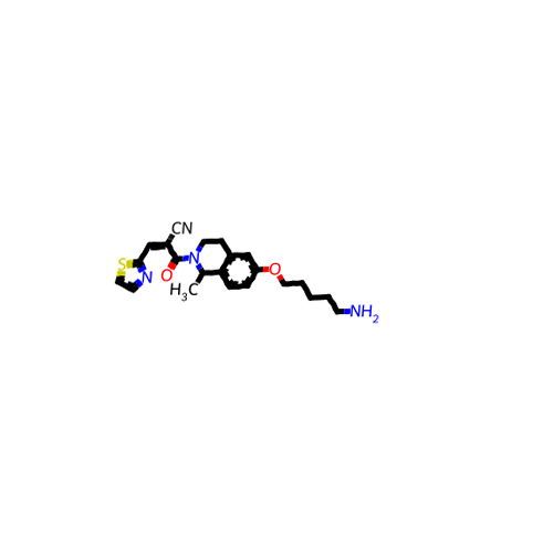 CC1c2ccc(OCCCCCN)cc2CCN1C(=O)/C(C#N)=C\c1nccs1